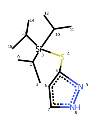 CC(C)[Si](Sc1cc[nH]n1)(C(C)C)C(C)C